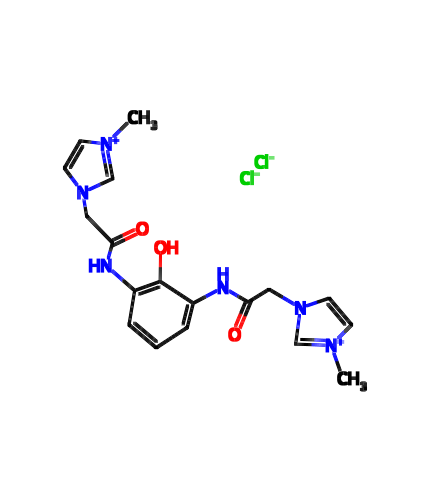 C[n+]1ccn(CC(=O)Nc2cccc(NC(=O)Cn3cc[n+](C)c3)c2O)c1.[Cl-].[Cl-]